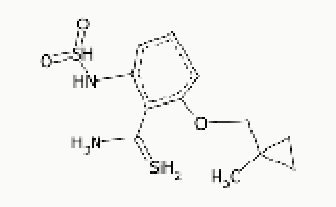 CC1(COc2cccc(N[SH](=O)=O)c2C(N)=[SiH2])CC1